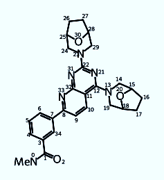 CNC(=O)c1cccc(-c2ccc3c(N4CC5CCC(C4)O5)nc(N4CC5CCC(C4)O5)nc3n2)c1